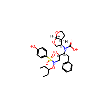 CCC(CC)ON(C[C@@H](O)[C@H](Cc1ccccc1)N(C(=O)O)[C@H]1CO[C@H]2OCC[C@H]21)S(=O)(=O)c1ccc(O)cc1